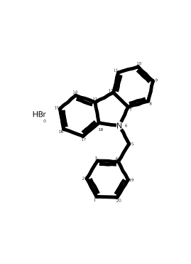 Br.c1ccc(Cn2c3ccccc3c3ccccc32)cc1